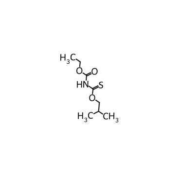 CCOC(=O)NC(=S)OCC(C)C